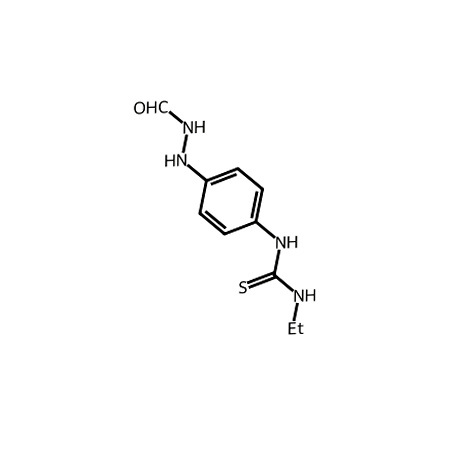 CCNC(=S)Nc1ccc(NNC=O)cc1